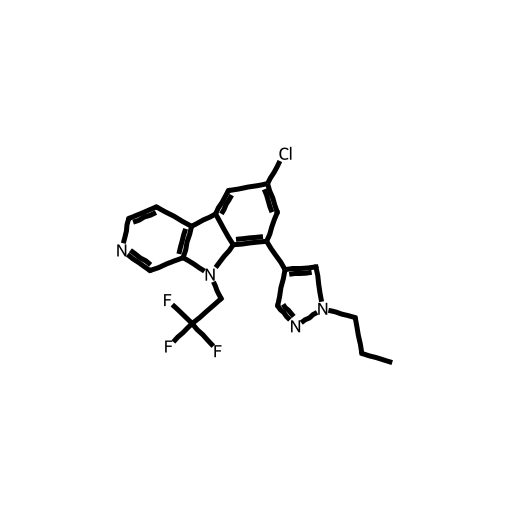 CCCn1cc(-c2cc(Cl)cc3c4ccncc4n(CC(F)(F)F)c23)cn1